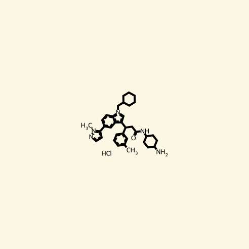 Cc1cccc(C(CC(=O)NC2CCC(N)CC2)c2cn(CC3CCCCC3)c3ccc(-c4ccnn4C)cc23)c1.Cl